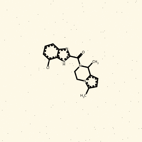 Cc1ccc2n1CCN(C(=O)c1nc3cccc(Cl)c3[nH]1)C2C